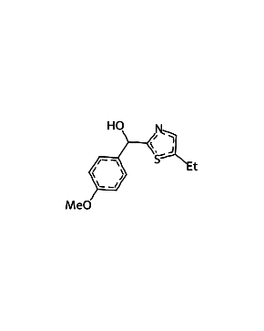 CCc1cnc(C(O)c2ccc(OC)cc2)s1